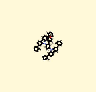 Cc1ccccc1-c1ccc2c3ccc(-c4ccccc4C)cc3n(-c3cc(-c4ccc(C#N)cc4C(F)(F)F)c(-n4c5cc(-c6ccccc6C)ccc5c5ccc(-c6ccccc6C)cc54)cc3C#N)c2c1